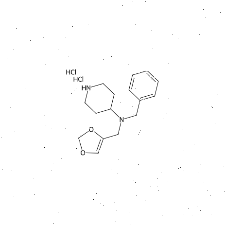 C1=C(CN(Cc2ccccc2)C2CCNCC2)OCO1.Cl.Cl